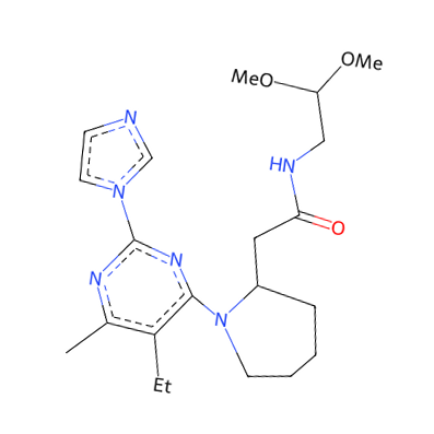 CCc1c(C)nc(-n2ccnc2)nc1N1CCCCC1CC(=O)NCC(OC)OC